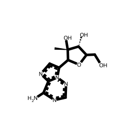 C[C@]1(O)C(c2cnc3c(N)ncnn23)OC(CO)[C@H]1O